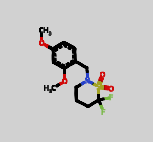 COc1ccc(CN2CCCC(F)(F)S2(=O)=O)c(OC)c1